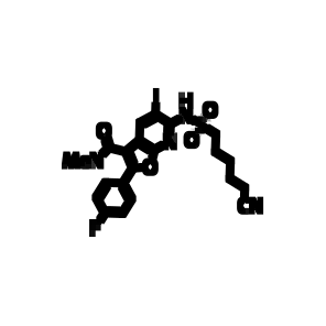 CNC(=O)c1c(-c2ccc(F)cc2)oc2nc(NS(=O)(=O)CCCCCC#N)c(I)cc12